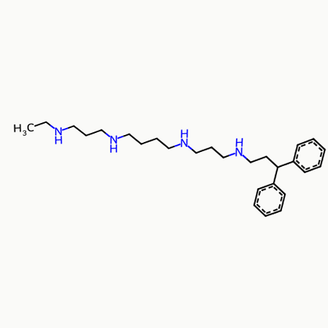 CCNCCCNCCCCNCCCNCCC(c1ccccc1)c1ccccc1